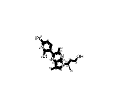 CCc1nc(C(C)C)ccc1-c1nc2c(C)cn([C@H](C)CCO)c2nc1C